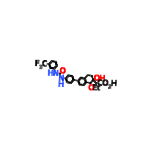 CCC(C(=O)O)C1(O)CCc2cc(-c3ccc(NC(=O)Nc4cccc(C(F)(F)F)c4)cc3)ccc2C1=O